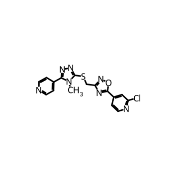 Cn1c(SCc2noc(-c3ccnc(Cl)c3)n2)nnc1-c1ccncc1